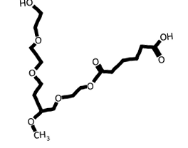 COC(CCOCCOCCO)COCCOC(=O)CCCCC(=O)O